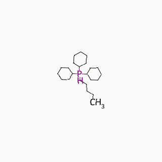 CCCCC[PH](C1CCCCC1)(C1CCCCC1)C1CCCCC1